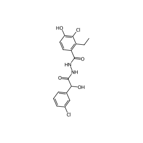 CCc1c(C(=O)NNC(=O)C(O)c2cccc(Cl)c2)ccc(O)c1Cl